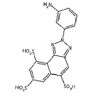 Nc1cccc(-n2nc3cc(S(=O)(=O)O)c4cc(S(=O)(=O)O)cc(S(=O)(=O)O)c4c3n2)c1